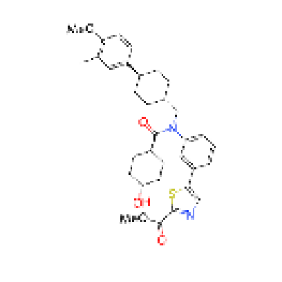 COC(=O)c1ncc(-c2cccc(N(C[C@H]3CC[C@H](c4ccc(OC)c(C)c4)CC3)C(=O)[C@H]3CC[C@H](O)CC3)c2)s1